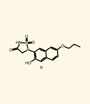 CCCOc1ccc2cc(O)c(N3CC(=O)NS3(=O)=O)cc2c1.[K]